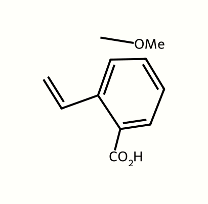 C=Cc1ccccc1C(=O)O.COC